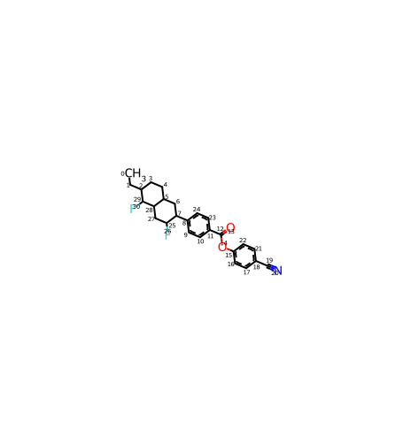 CCC1CCC2CC(c3ccc(C(=O)Oc4ccc(C#N)cc4)cc3)C(F)CC2C1F